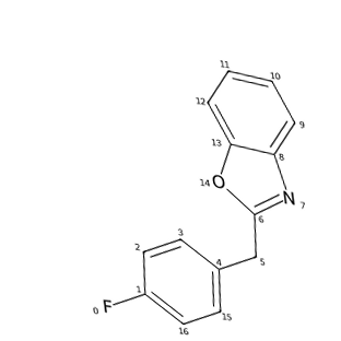 Fc1ccc(Cc2nc3ccccc3o2)cc1